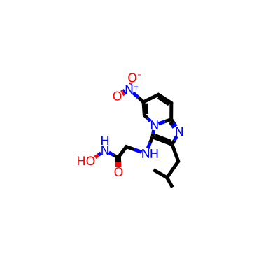 CC(C)Cc1nc2ccc([N+](=O)[O-])cn2c1NCC(=O)NO